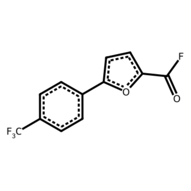 O=C(F)c1ccc(-c2ccc(C(F)(F)F)cc2)o1